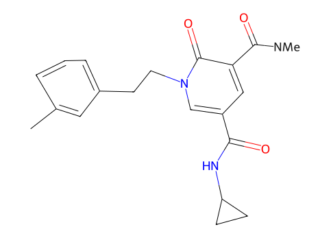 CNC(=O)c1cc(C(=O)NC2CC2)cn(CCc2cccc(C)c2)c1=O